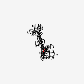 CCCC1O[C@@H]2C[C@H]3[C@@H]4C[C@H](F)C5=CC(=O)C=C[C@]5(C)[C@@]4(F)[C@@H](O)C[C@]3(C)[C@]2(C(=O)COc2ccc(NC(=O)OCc3ccc(NC(=O)C(CCCNC(N)=O)NC(=O)C(N)C(C)C)cc3)cc2)O1